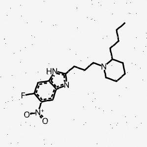 CCCCC1CCCCN1CCCc1nc2cc([N+](=O)[O-])c(F)cc2[nH]1